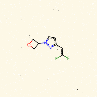 FC(F)=Cc1ccn(C2COC2)n1